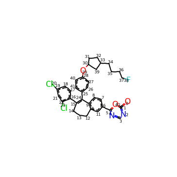 O=c1ncnc(-c2ccc3c(c2)CCCC(c2ccc(Cl)cc2Cl)=C3c2ccc(OC3CCC(CCCCF)C3)cc2)o1